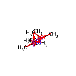 CCCCCCCCCCCCCCC(O)CN(CCN(C)CCC(=O)N(C)CCN(C)C(=O)CCN(C)CCN(CC(CCC)CCCCCCCCCCCCCC)CC(CCCCCCCCCCCCCC)OI)CC(O)CCCCCCCCCCCCCC